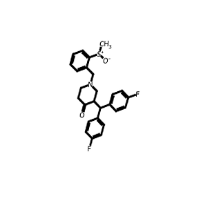 C[S+]([O-])c1ccccc1CN1CCC(=O)C(C(c2ccc(F)cc2)c2ccc(F)cc2)C1